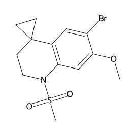 COc1cc2c(cc1Br)C1(CCN2S(C)(=O)=O)CC1